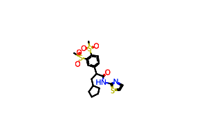 CS(=O)(=O)c1ccc(C(CC2CCCC2)C(=O)Nc2nccs2)cc1S(C)(=O)=O